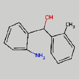 Cc1ccccc1C(O)c1ccccc1N